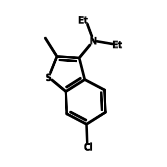 CCN(CC)c1c(C)sc2cc(Cl)ccc12